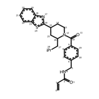 C=CC(=O)NCc1ccc(C(=O)N2CCC(c3nc4ccccc4s3)CC2CC(C)C)cc1